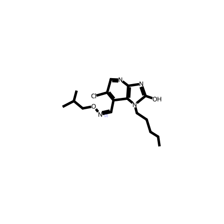 CCCCCn1c(O)nc2ncc(Cl)c(/C=N\OCC(C)C)c21